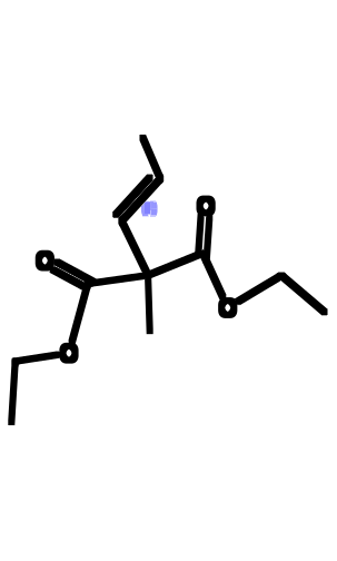 C/C=C/C(C)(C(=O)OCC)C(=O)OCC